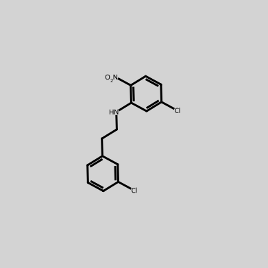 O=[N+]([O-])c1ccc(Cl)cc1NCCc1cccc(Cl)c1